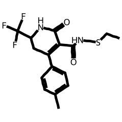 CCSNC(=O)C1=C(c2ccc(C)cc2)CC(C(F)(F)F)NC1=O